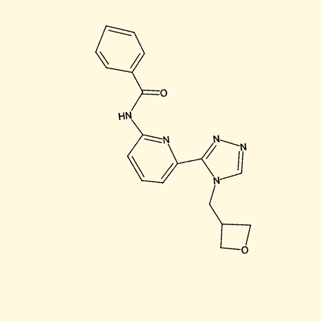 O=C(Nc1cccc(-c2nncn2CC2COC2)n1)c1ccccc1